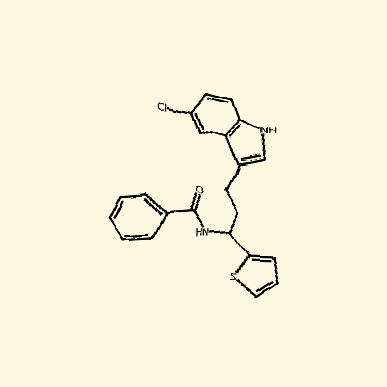 O=C(NC(CCc1c[nH]c2ccc(Cl)cc12)c1cccs1)c1ccccc1